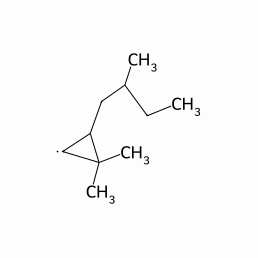 CCC(C)CC1[CH]C1(C)C